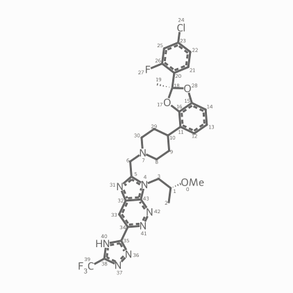 CO[C@H](C)Cn1c(CN2CCC(c3cccc4c3O[C@@](C)(c3ccc(Cl)cc3F)O4)CC2)nc2cc(-c3nnc(C(F)(F)F)[nH]3)nnc21